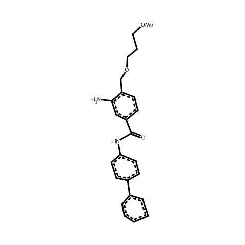 COCCCOCc1ccc(C(=O)Nc2ccc(-c3ccccc3)cc2)cc1N